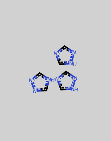 c1nc[nH]n1.c1nc[nH]n1.c1nnc[nH]1